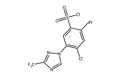 CC(C)c1cc(Cl)c(-n2cnc(C(F)(F)F)n2)cc1S(=O)(=O)Cl